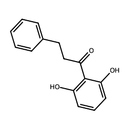 O=C(CCc1ccccc1)c1c(O)cccc1O